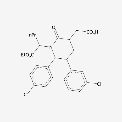 CCCC(C(=O)OCC)N1C(=O)C(CC(=O)O)CC(c2cccc(Cl)c2)C1c1ccc(Cl)cc1